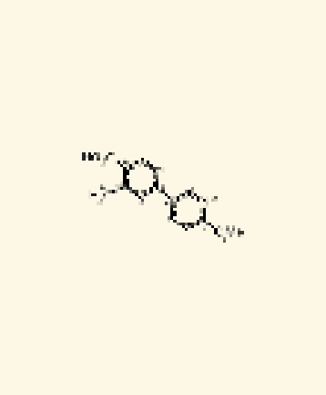 COc1ccc(-c2ccc(C(=O)O)c(C)c2)cn1